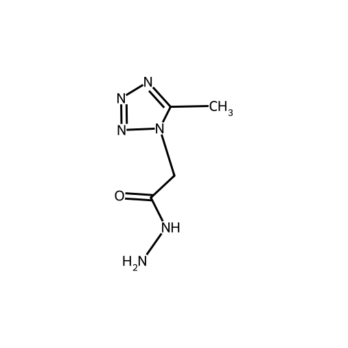 Cc1nnnn1CC(=O)NN